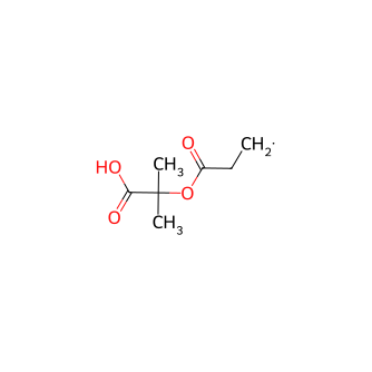 [CH2]CC(=O)OC(C)(C)C(=O)O